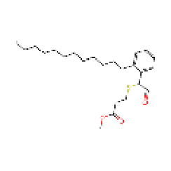 CCCCCCCCCCCCc1ccccc1C(C=O)SCCC(=O)OC